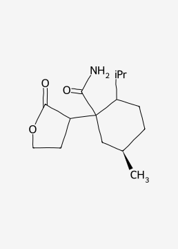 CC(C)C1CC[C@@H](C)CC1(C(N)=O)C1CCOC1=O